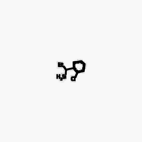 CCC([SiH3])c1ccccc1Cl